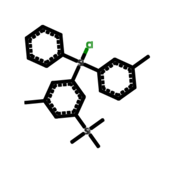 Cc1cccc([Si](Cl)(c2ccccc2)c2cc(C)cc([Si](C)(C)C)c2)c1